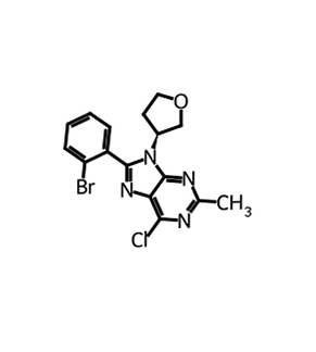 Cc1nc(Cl)c2nc(-c3ccccc3Br)n([C@H]3CCOC3)c2n1